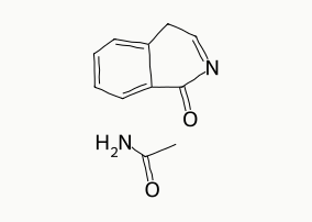 CC(N)=O.O=C1N=CCc2ccccc21